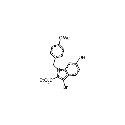 CCOC(=O)c1c(Br)c2ccc(O)cc2n1Cc1ccc(OC)cc1